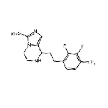 CSc1ncc2n1CCNC2CCc1ccc(C(F)(F)F)c(F)c1F